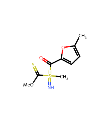 COC(=S)[SH](C)(=N)C(=O)c1ccc(C)o1